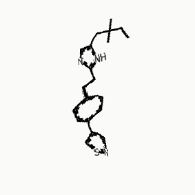 CCC(C)(C)Cc1cnc(CCc2ccc(-c3cnsc3)cc2)[nH]1